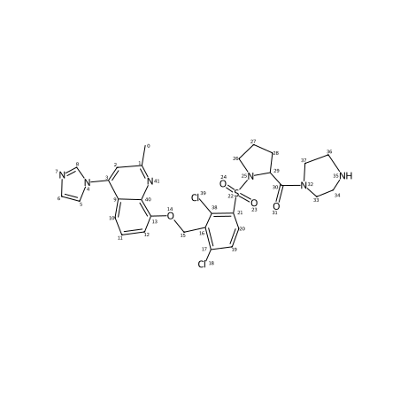 Cc1cc(-n2ccnc2)c2cccc(OCc3c(Cl)ccc(S(=O)(=O)N4CCCC4C(=O)N4CCNCC4)c3Cl)c2n1